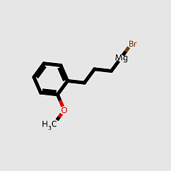 COc1ccccc1CC[CH2][Mg][Br]